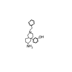 NC1CCC2CN(CCc3ccccc3)CCC2(c2cccc(O)c2)C1